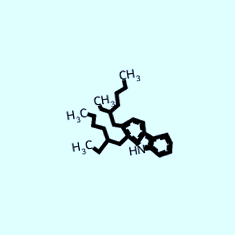 CCCCC(CC)Cc1ccc2c([nH]c3ccccc32)c1CC(CC)CCCC